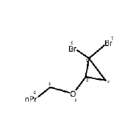 CCCCOC1CC1(Br)Br